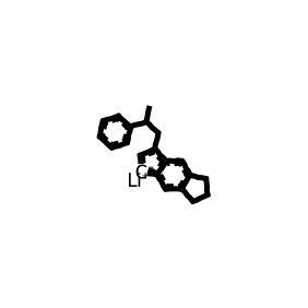 CC(Cc1c[cH-]c2cc3c(cc12)CCC3)c1ccccc1.[Li+]